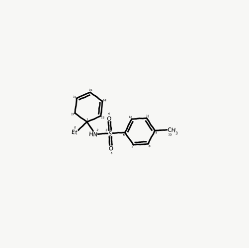 CCC1(NS(=O)(=O)c2ccc(C)cc2)C=CC=CC1